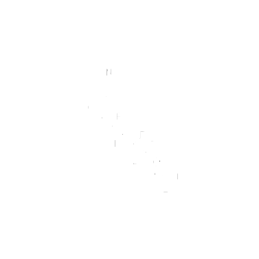 COC(C)(CC(C)(C)CN(C)C)C(F)(F)C(F)(F)C(F)(F)C(F)(F)OC(F)=C(F)F